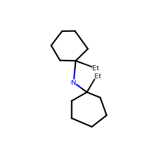 CCC1([N]C2(CC)CCCCC2)CCCCC1